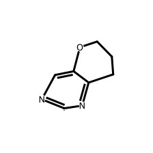 [c]1ncc2c(n1)CCCO2